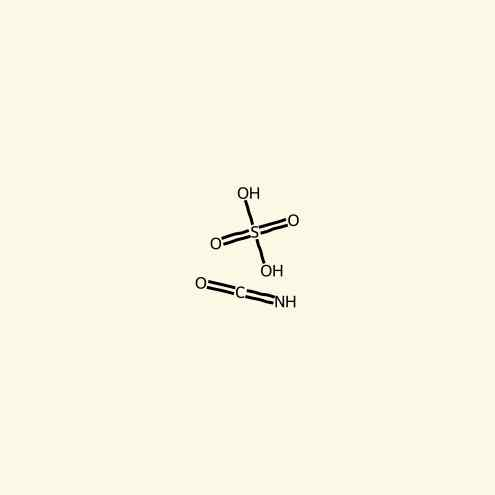 N=C=O.O=S(=O)(O)O